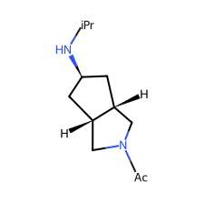 CC(=O)N1C[C@H]2C[C@H](NC(C)C)C[C@H]2C1